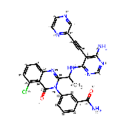 CC(Nc1ncnc(N)c1C#Cc1cnccn1)c1nc2cccc(Cl)c2c(=O)n1-c1cccc(C(N)=O)c1